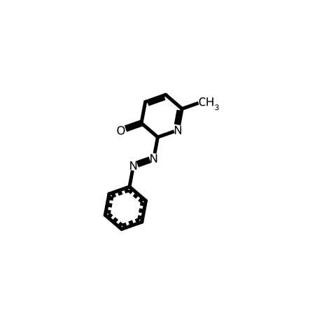 CC1=NC(N=Nc2ccccc2)C(=O)C=C1